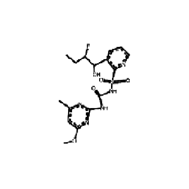 CCC(F)C(O)c1cccnc1S(=O)(=O)NC(=O)Nc1nc(C)cc(OC)n1